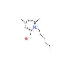 CCCCCC[n+]1c(C)cc(C)cc1C.[Br-]